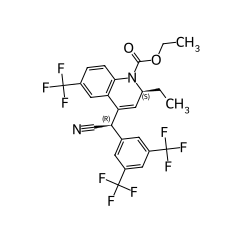 CCOC(=O)N1c2ccc(C(F)(F)F)cc2C([C@H](C#N)c2cc(C(F)(F)F)cc(C(F)(F)F)c2)=C[C@@H]1CC